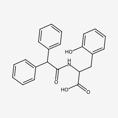 O=C(O)C(Cc1ccccc1O)NC(=O)C(c1ccccc1)c1ccccc1